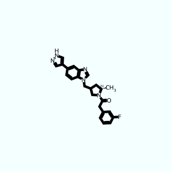 C[C@H]1CC(Cn2cnc3cc(-c4cn[nH]c4)ccc32)CN1C(=O)Cc1cccc(F)c1